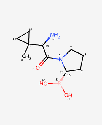 CC1([C@@H](N)C(=O)N2CCC[C@H]2B(O)O)CC1